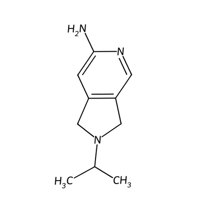 CC(C)N1Cc2cnc(N)cc2C1